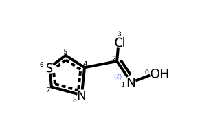 O/N=C(\Cl)c1cscn1